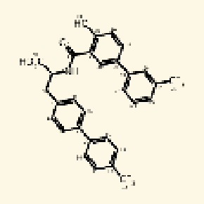 O=C(N[C@@H](Cc1ccc(-c2ccc(C(F)(F)F)cc2)cc1)C(=O)O)c1cc(-c2cccc(C(F)(F)F)c2)ccc1O